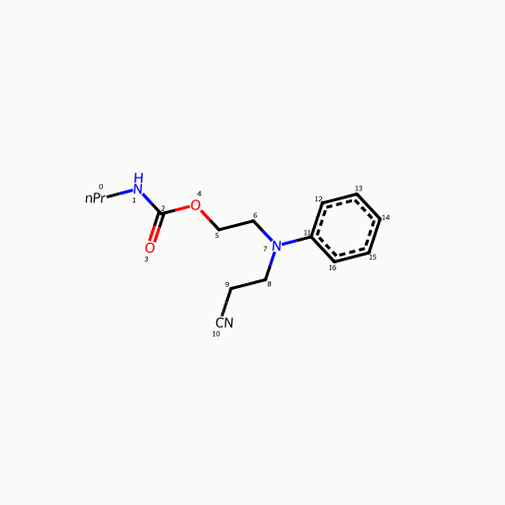 CCCNC(=O)OCCN(CCC#N)c1ccccc1